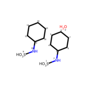 O.O=S(=O)(O)NC1CCCCC1.O=S(=O)(O)NC1CCCCC1